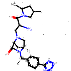 CC1CC(C#N)N(C(=O)C(N)CN2C[C@@H]3CC2C(=O)N3[C@@H](C)c2ccc(-c3nnn[nH]3)cc2)C1